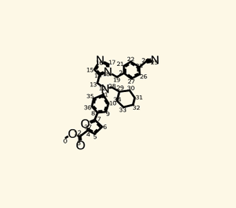 COC(=O)c1ccc(-c2ccc(N(Cc3cncn3Cc3ccc(C#N)cc3)CC3CCCCC3)cc2)o1